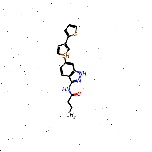 CCCC(=O)Nc1n[nH]c2cc([SH]3C=CC(c4cccs4)=C3)ccc12